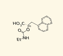 CCNC(=O)O[C@@H](Cc1cccc2ccccc12)C(=O)O